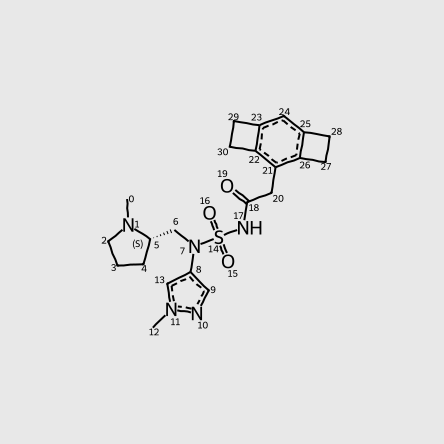 CN1CCC[C@H]1CN(c1cnn(C)c1)S(=O)(=O)NC(=O)Cc1c2c(cc3c1CC3)CC2